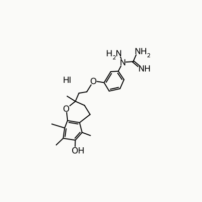 Cc1c(C)c2c(c(C)c1O)CCC(C)(CCOc1cccc(N(N)C(=N)N)c1)O2.I